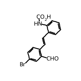 O=Cc1cc(Br)ccc1C=Cc1ccccc1NC(=O)O